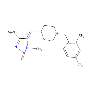 CNC1=NC(=O)N(C)/C1=C\C1CCN(Cc2ccc(C(F)(F)F)cc2C(F)(F)F)CC1